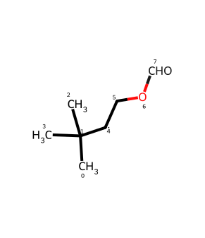 CC(C)(C)[CH]COC=O